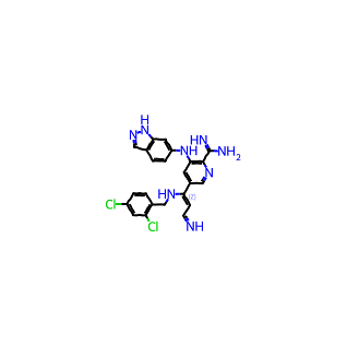 N=C/C=C(\NCc1ccc(Cl)cc1Cl)c1cnc(C(=N)N)c(Nc2ccc3cn[nH]c3c2)c1